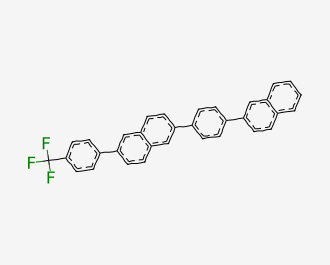 FC(F)(F)c1ccc(-c2ccc3cc(-c4ccc(-c5ccc6ccccc6c5)cc4)ccc3c2)cc1